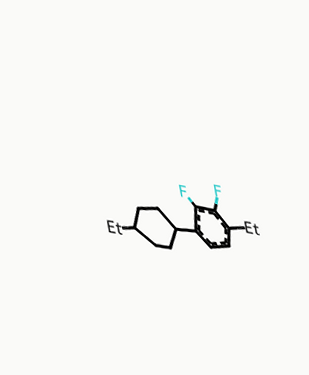 CCc1ccc(C2CCC(CC)CC2)c(F)c1F